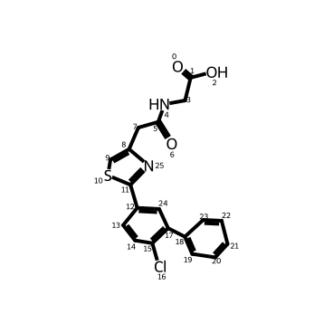 O=C(O)CNC(=O)Cc1csc(-c2ccc(Cl)c(-c3ccccc3)c2)n1